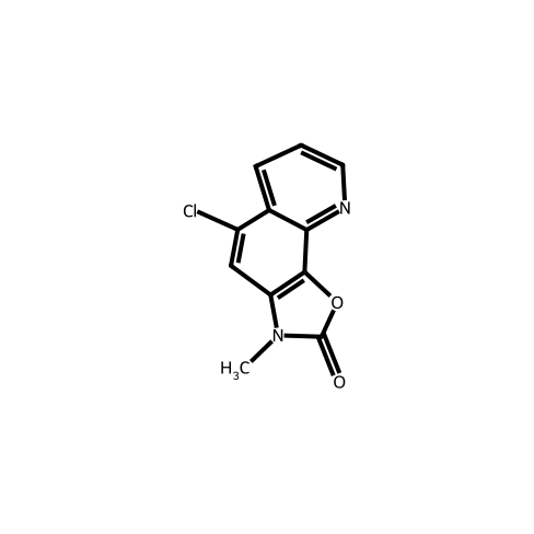 Cn1c(=O)oc2c3ncccc3c(Cl)cc21